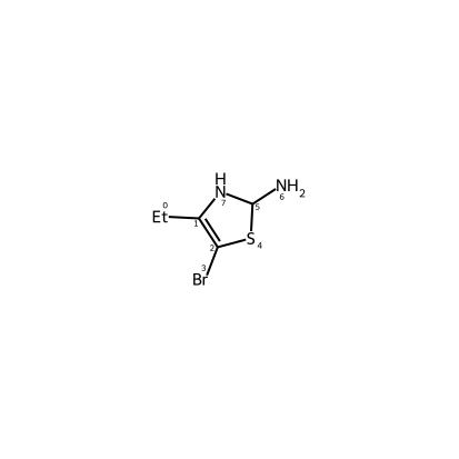 CCC1=C(Br)SC(N)N1